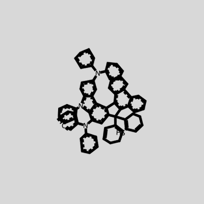 SC1=C(C2(C3=CCCC=C3)c3cc(N(c4ccccc4)c4ccccc4)c4c(c3-c3c2c2ccccc2c2ccccc32)c2cc(N(c3ccccc3)c3ccccc3)ccc2n4-c2ccccc2)CCC=C1